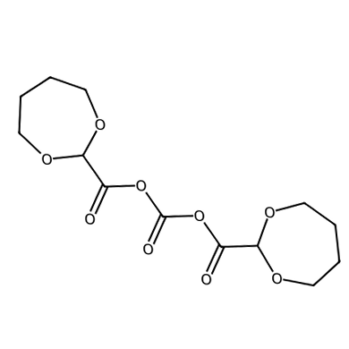 O=C(OC(=O)C1OCCCCO1)OC(=O)C1OCCCCO1